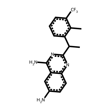 Cc1c(C(C)c2nc(N)c3cc(N)ccc3n2)cccc1C(F)(F)F